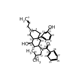 C=CCN1CCC2(c3cccc(O)c3)CC(N(CC(C)C)C(=O)c3ccccc3)CC(O)C2C1